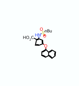 CCCCS(=O)(=O)Nc1cc(Oc2cccc3ccccc23)ccc1C(=O)O